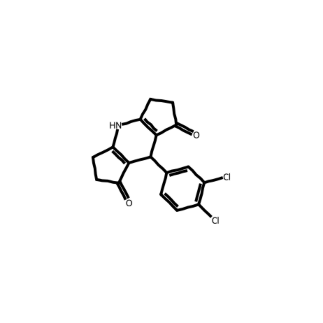 O=C1CCC2=C1C(c1ccc(Cl)c(Cl)c1)C1=C(CCC1=O)N2